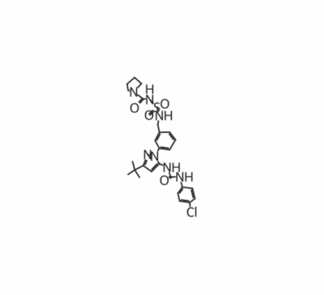 CC(C)(C)c1cc(NC(=O)Nc2ccc(Cl)cc2)n(-c2cccc(CNS(=O)(=O)NC(=O)N3CCCC3)c2)n1